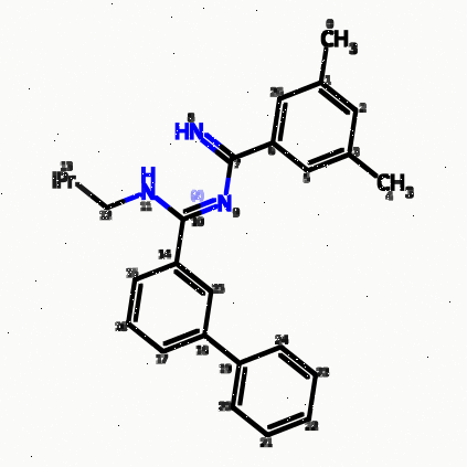 Cc1cc(C)cc(C(=N)/N=C(\NCC(C)C)c2cccc(-c3ccccc3)c2)c1